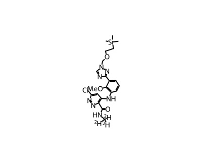 [2H]C([2H])([2H])NC(=O)c1nnc(Cl)cc1Nc1cccc(-c2ncn(COCC[Si](C)(C)C)n2)c1OC